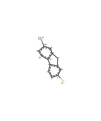 Fc1ccc2c(c1)Cc1cc(Cl)ccc1-2